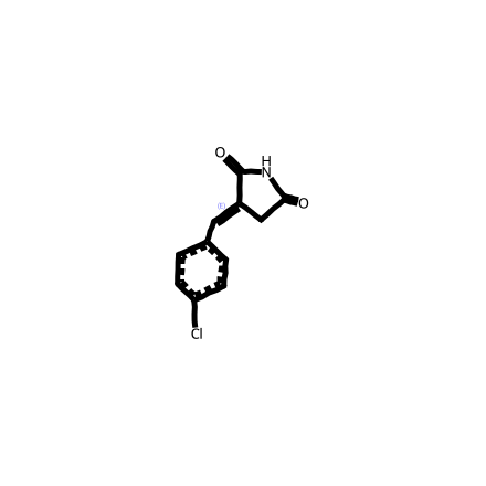 O=C1C/C(=C\c2ccc(Cl)cc2)C(=O)N1